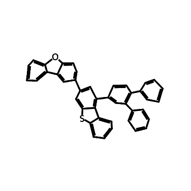 c1ccc(-c2ccc(-c3cc(-c4ccc5oc6ccccc6c5c4)cc4sc5ccccc5c34)cc2-c2ccccc2)cc1